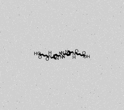 O=C(O)CCCC(=O)NCc1ccc(-c2nnc(-c3ccc(CNC(=O)CCCC(=O)O)cn3)nn2)nc1